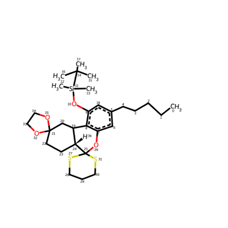 CCCCCc1cc2c(c(O[Si](C)(C)C(C)(C)C)c1)C1CC3(CC[C@H]1C1(O2)SCCCS1)OCCO3